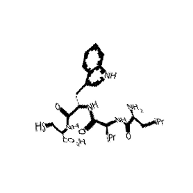 CC(C)C[C@H](N)C(=O)N[C@H](C(=O)N[C@@H](Cc1c[nH]c2ccccc12)C(=O)N[C@@H](CS)C(=O)O)C(C)C